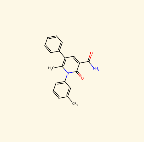 Cc1c(-c2ccccc2)cc(C(N)=O)c(=O)n1-c1cccc(C(F)(F)F)c1